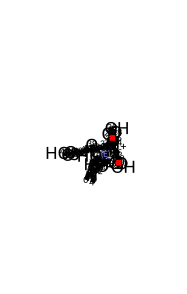 CCN(CC)c1ccc2c(O)c(/C=C/C3=[N+](CCCS(=O)(=O)O)c4ccc(S(=O)(=O)O)cc4C3(C)CCCC(=O)NCCCSOOO)c(=O)oc2c1